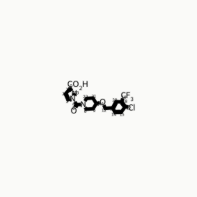 O=C(O)c1ccn(C(=O)N2CCC(OCc3ccc(Cl)c(C(F)(F)F)c3)CC2)n1